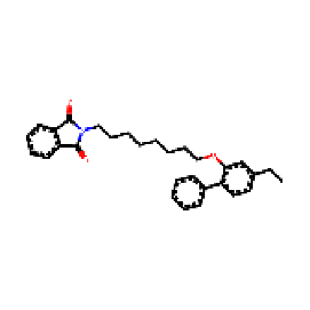 CCc1ccc(-c2ccccc2)c(OCCCCCCCCN2C(=O)c3ccccc3C2=O)c1